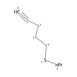 C#CCCCSCC[CH2]